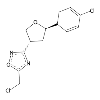 ClCc1nc([C@@H]2CO[C@@H](C3C=CC(Cl)=CC3)C2)no1